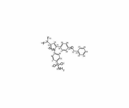 NS(=O)(=O)c1ccc(-n2nc(C(F)F)cc2-c2ccc(OCc3ccccc3)cc2)cc1